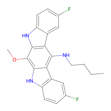 CCCCNc1c2c([nH]c3ccc(F)cc32)c(OC)c2[nH]c3ccc(F)cc3c12